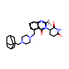 Cc1nc2cccc(CN3CCN(CC45CC6CC(CC(C6)C4)C5)CC3)c2c(=O)n1C1CCC(=O)NC1=O